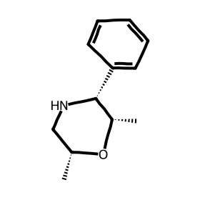 C[C@@H]1CN[C@H](c2ccccc2)[C@H](C)O1